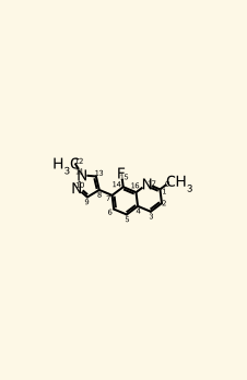 Cc1ccc2ccc(-c3cnn(C)c3)c(F)c2n1